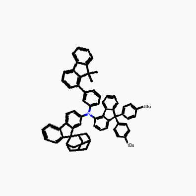 CC(C)(C)c1ccc(C2(c3ccc(C(C)(C)C)cc3)c3ccccc3-c3c(N(c4cccc(-c5cccc6c5C(C)(C)c5ccccc5-6)c4)c4ccc5c(c4)C4(c6ccccc6-5)C5CC6CC(C5)CC4C6)cccc32)cc1